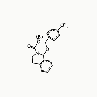 CC(C)(C)OC(=O)N1CCc2ccccc2C1OCc1ccc(C(F)(F)F)cc1